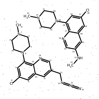 CN1CCN(c2cc(Cl)cc3cc(CN=[N+]=[N-])cnc23)CC1.CNc1cnc2c(N3CCN(C)CC3)cc(Cl)cc2c1